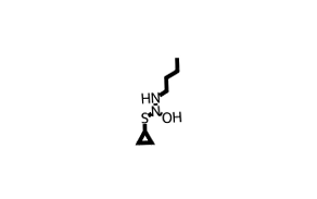 CCCCNN(O)SC1CC1